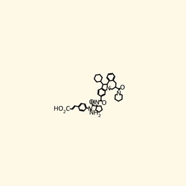 NN(C(=O)C1(NC(=O)c2ccc3c(c2)N2CC(C(=O)N4CCCCC4)Cc4ccccc4C2C3C2CCCCC2)CCCC1)c1ccc(/C=C/C(=O)O)cc1